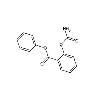 NC(=O)Oc1ccccc1C(=O)Oc1ccccc1